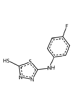 Fc1ccc(Nc2nnc(S)s2)cc1